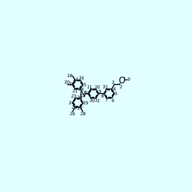 COCCc1cccc(-c2ccc(N(c3ccc(C)c(C)c3)c3ccc(C)c(C)c3)cc2)c1